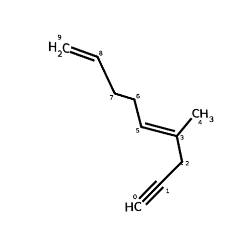 C#C[CH]C(C)=CCCC=C